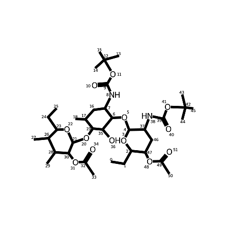 CCC1OC(OC2C(NC(=O)OC(C)(C)C)CC(C)C(OC3OC(CC)C(C)C(C)C3OC(C)=O)C2O)C(NC(=O)OC(C)(C)C)CC1OC(C)=O